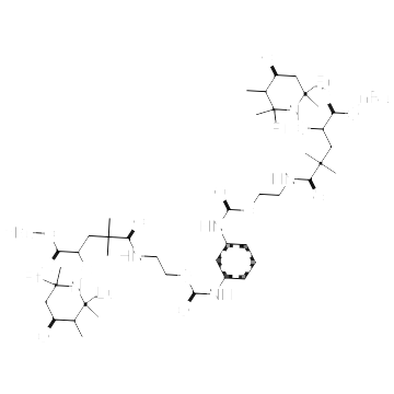 CCCCOC(=O)C(CC(C)(C)C(=O)NCCOC(=O)Nc1cccc(NC(=O)OCCNC(=O)C(C)(C)CC(ON2C(C)(CC)CC(=O)C(C)C2(C)CC)C(=O)OCCCC)c1)ON1C(C)(CC)CC(=O)C(C)C1(C)CC